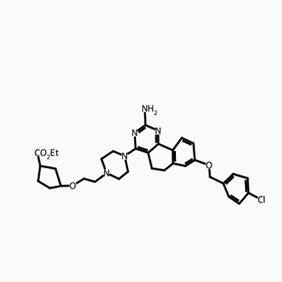 CCOC(=O)C1CCC(OCCN2CCN(c3nc(N)nc4c3CCc3cc(OCc5ccc(Cl)cc5)ccc3-4)CC2)C1